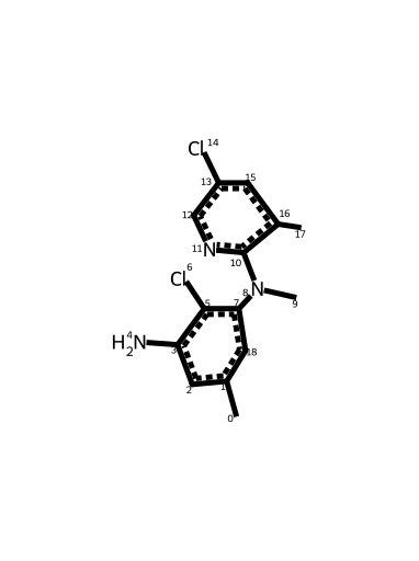 Cc1cc(N)c(Cl)c(N(C)c2ncc(Cl)cc2C)c1